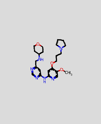 COc1cnc(Nc2cc(CNC3CCOCC3)ncn2)cc1OCCCN1CCCC1